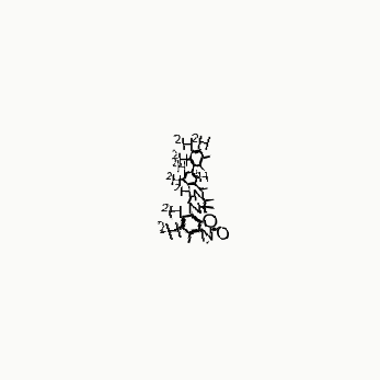 [2H]c1c([2H])c(C)c(C)c(-c2c([2H])c([2H])c([2H])c(C(C)N3CCN(c4c([2H])c([2H])c(C)c5c4oc(=O)n5C)C(C)(C)C3C)c2[2H])c1[2H]